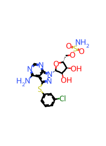 Nc1ncnc2c1c(Sc1cccc(Cl)c1)nn2[C@@H]1O[C@H](COS(N)(=O)=O)[C@@H](O)[C@H]1O